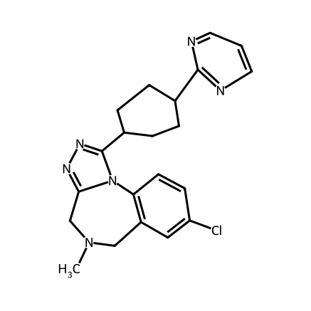 CN1Cc2cc(Cl)ccc2-n2c(nnc2C2CCC(c3ncccn3)CC2)C1